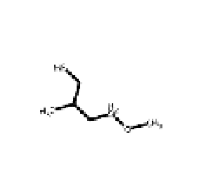 CO[SiH2]CC(C)CS